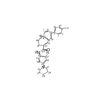 Cc1ccc(-c2ccc3c(c2)C=C(C(=O)Nc2ccc(N4CCCCC4)cc2C)CCS3)cc1